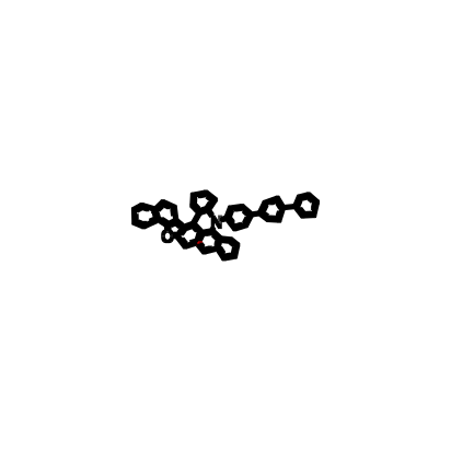 c1ccc(-c2ccc(-c3ccc(N(c4ccccc4-c4cccc5oc6c7ccccc7ccc6c45)c4cccc5ccccc45)cc3)cc2)cc1